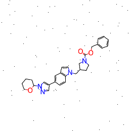 O=C(OCc1ccccc1)N1CCC(Cn2ccc3cc(-c4cnn(C5CCCCO5)c4)ccc32)C1